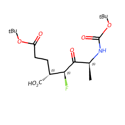 C[C@H](NC(=O)OC(C)(C)C)C(=O)[C@@H](F)[C@@H](CCC(=O)OC(C)(C)C)C(=O)O